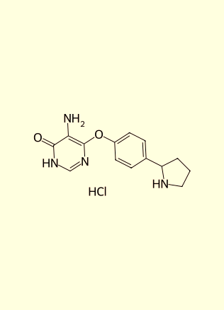 Cl.Nc1c(Oc2ccc(C3CCCN3)cc2)nc[nH]c1=O